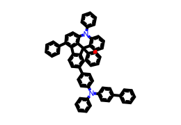 c1ccc(-c2ccc(N(c3ccccc3)c3ccc(-c4ccc5c(c4)C4(c6ccccc6)c6ccccc6N(c6ccccc6)c6ccc(-c7ccccc7)c-5c64)cc3)cc2)cc1